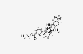 CCOC(=O)c1cccc(-c2cccc3c2nc(Nc2cccc(C(F)(F)F)c2)n3C)c1